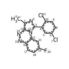 Cc1nc(-c2cc(Cl)ccc2Cl)n2c1nnc1ccc(F)cc12